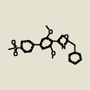 COc1cc(-c2ccc(S(C)(=O)=O)cc2)cc(OC)c1-c1coc(Cc2ccccc2)n1